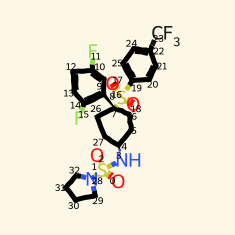 O=S(=O)(N[C@H]1CC[C@@](c2cc(F)ccc2F)(S(=O)(=O)c2ccc(C(F)(F)F)cc2)CC1)N1CCCC1